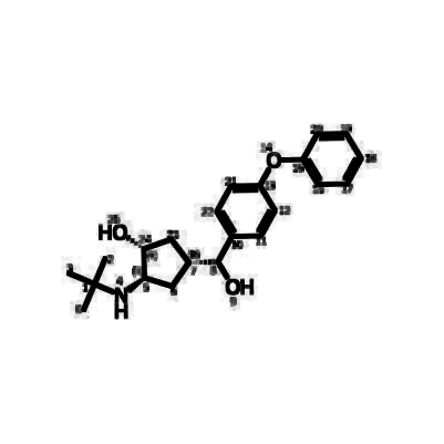 CC(C)(C)N[C@@H]1C[C@@H](C(O)c2ccc(Oc3ccccc3)cc2)C[C@H]1O